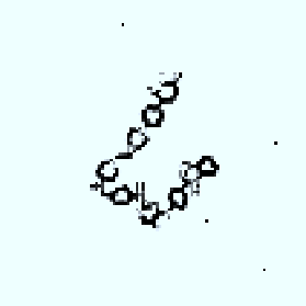 CN(Cc1ccc(Nc2ncc(F)c(Nc3ccc(C(=O)Nc4ccccc4Cl)cc3)n2)cc1)C1CCN(CCN2CCN(c3ccc(C4CCC(=O)NC4=O)cc3)CC2)CC1